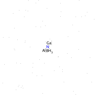 B.[Al].[Ga].[N]